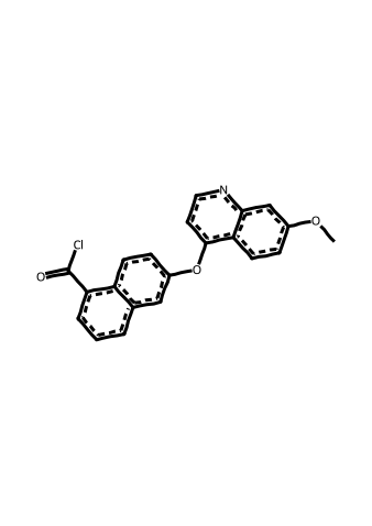 COc1ccc2c(Oc3ccc4c(C(=O)Cl)cccc4c3)ccnc2c1